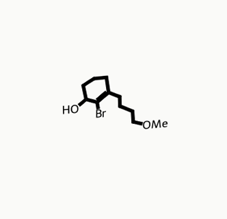 COCCCCC1=C(Br)C(O)CCC1